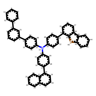 c1ccc(-c2cccc(-c3ccc(N(c4ccc(-c5cccc6ccccc56)cc4)c4ccc(-c5cccc6c5sc5ccccc56)cc4)cc3)c2)cc1